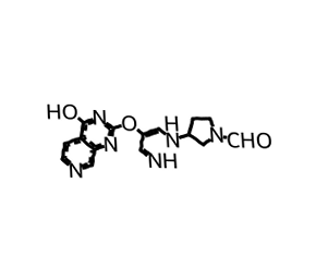 N=C/C(=C\NC1CCN(C=O)C1)Oc1nc(O)c2ccncc2n1